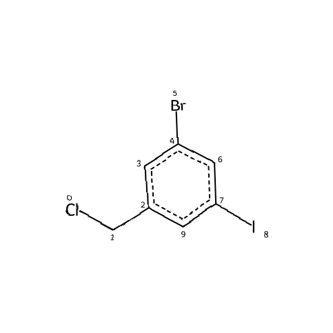 ClCc1cc(Br)cc(I)c1